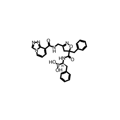 O=C(NCC1=NOC(Cc2ccccc2)(C(=O)N[C@@H](Cc2ccccc2)B(O)O)C1)c1cccn2cnnc12